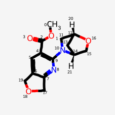 COC(=O)c1cc2c(nc1N1C[C@H]3C[C@@H]1CO3)COC2